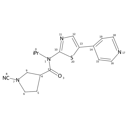 CC(C)N(C(=O)C1CCN(C#N)C1)c1ncc(-c2ccncc2)s1